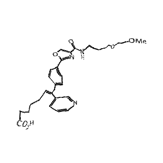 COCCOCCCNC(=O)c1coc(-c2ccc(C(=CCCCCC(=O)O)c3cccnc3)cc2)n1